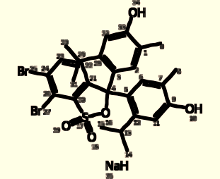 Cc1cc(C2(c3cc(C)c(O)cc3C(C)C)OS(=O)(=O)c3c2ccc(Br)c3Br)c(C(C)C)cc1O.[NaH]